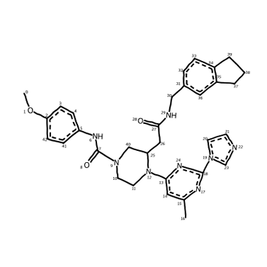 COc1ccc(NC(=O)N2CCN(c3cc(C)nc(-n4ccnc4)n3)C(CC(=O)NCc3ccc4c(c3)CCC4)C2)cc1